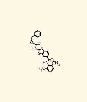 Cc1cccc(C)c1NC(=O)c1ccc2nc(NC(=O)C3CC3Cc3ccccc3)sc2c1